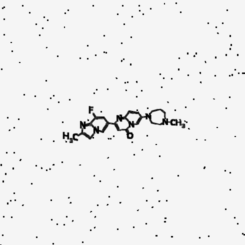 Cc1cn2cc(-c3cc(=O)n4cc(N5CCCN(C)CC5)ccc4n3)cc(F)c2n1